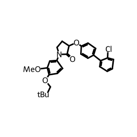 COc1cc(N2CCC(Oc3ccc(-c4ccccc4Cl)cc3)C2=O)ccc1OCC(C)(C)C